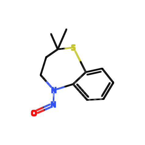 CC1(C)CCN(N=O)c2ccccc2S1